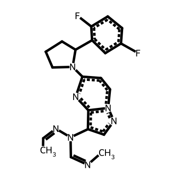 C/C=N\N(/C=N\C)c1cnn2ccc(N3CCCC3c3cc(F)ccc3F)nc12